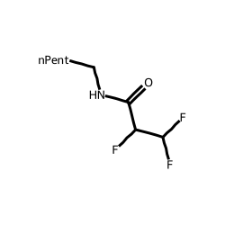 CCCCCCNC(=O)C(F)C(F)F